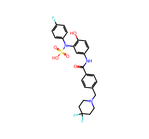 O=C(Nc1ccc(O)c(N(c2ccc(F)cc2)S(=O)(=O)O)c1)c1ccc(CN2CCC(F)(F)CC2)cc1